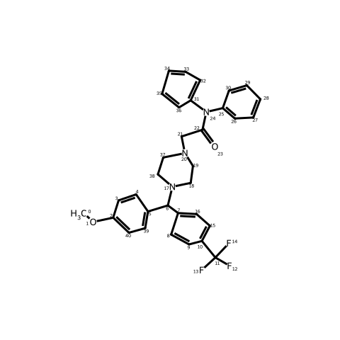 COc1ccc(C(c2ccc(C(F)(F)F)cc2)N2CCN(CC(=O)N(c3ccccc3)c3ccccc3)CC2)cc1